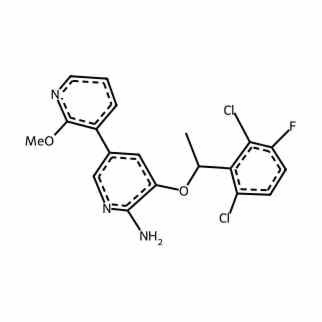 COc1ncccc1-c1cnc(N)c(OC(C)c2c(Cl)ccc(F)c2Cl)c1